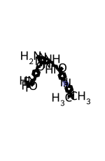 CN(C)c1ccc(/N=N/c2ccc(C(=O)NCCCc3nc4c(OCc5ccc(CNC(=O)C(F)(F)F)cc5)nc(N)nc4[nH]3)cc2)cc1